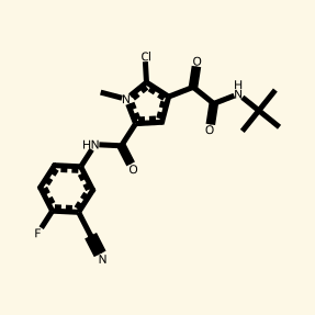 Cn1c(C(=O)Nc2ccc(F)c(C#N)c2)cc(C(=O)C(=O)NC(C)(C)C)c1Cl